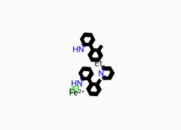 CCc1ccccn1.Cc1ccccc1C1=CC=CCC1=N.Cc1ccccc1C1=CC=CCC1=N.[Cl-].[Cl-].[Fe+2]